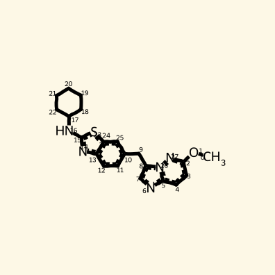 COc1ccc2ncc(Cc3ccc4nc(NC5CCCCC5)sc4c3)n2n1